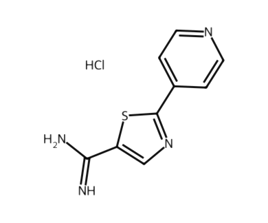 Cl.N=C(N)c1cnc(-c2ccncc2)s1